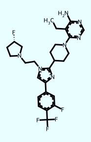 CCc1c(N)ncnc1N1CCC(c2nc(-c3ccc(C(F)(F)F)c(F)c3)cn2CCN2CC[C@H](F)C2)CC1